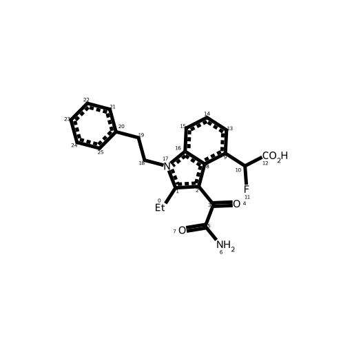 CCc1c(C(=O)C(N)=O)c2c(C(F)C(=O)O)cccc2n1CCc1ccccc1